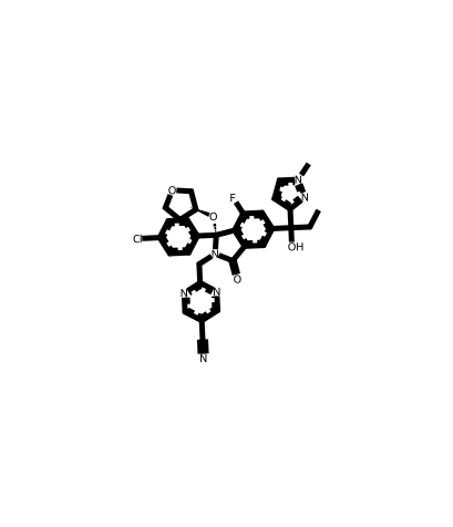 CCC(O)(c1cc(F)c2c(c1)C(=O)N(Cc1ncc(C#N)cn1)[C@@]2(O[C@H]1CCOC1)c1ccc(Cl)cc1)c1ccn(C)n1